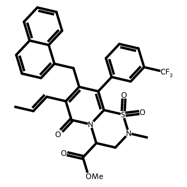 CC=Cc1c(Cc2cccc3ccccc23)c(-c2cccc(C(F)(F)F)c2)c2n(c1=O)C(C(=O)OC)CN(C)S2(=O)=O